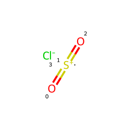 O=[S+]=O.[Cl-]